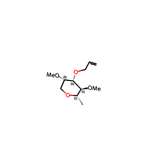 C=CCO[C@@H]1[C@@H](OC)[C@H](C)OC[C@@H]1OC